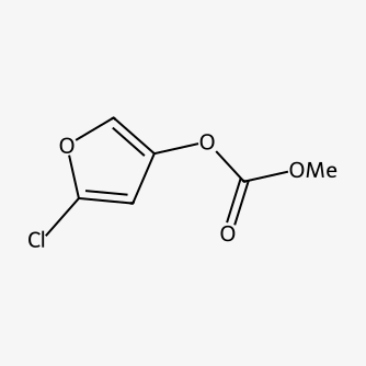 COC(=O)Oc1coc(Cl)c1